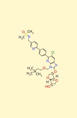 C[Si](C)(C)CCOCn1c(O[C@@H]2CO[C@H]3[C@@H]2OC[C@H]3O)nc2cc(Cl)c(-c3ccc(-c4ccc(CN=S(C)(C)=O)cn4)cc3)nc21